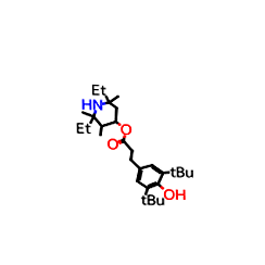 CCC1(C)CC(OC(=O)CCc2cc(C(C)(C)C)c(O)c(C(C)(C)C)c2)C(C)C(C)(CC)N1